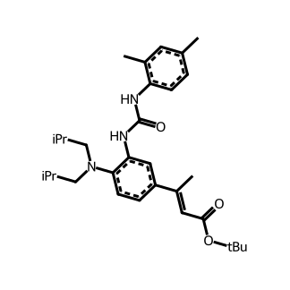 C/C(=C\C(=O)OC(C)(C)C)c1ccc(N(CC(C)C)CC(C)C)c(NC(=O)Nc2ccc(C)cc2C)c1